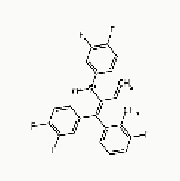 C=C/C(=C(/c1ccc(F)c(F)c1)c1cccc(F)c1C)[S+]([O-])c1ccc(F)c(F)c1